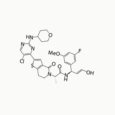 COc1cc(F)cc([C@@H](/C=C/O)NC(=O)[C@H](C)N2CCc3sc(-c4nc(NC5CCOCC5)ncc4Cl)cc3C2=O)c1